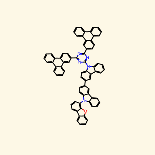 c1ccc2c(c1)oc1c(-n3c4ccccc4c4cc(-c5ccc6c(c5)c5ccccc5n6-c5nc(-c6ccc7c8ccccc8c8ccccc8c7c6)nc(-c6ccc7c8ccccc8c8ccccc8c7c6)n5)ccc43)cccc12